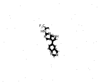 C[C@H](Nc1ncc2c(-c3ccc4ncncc4c3)c[nH]c2n1)C(F)(F)F